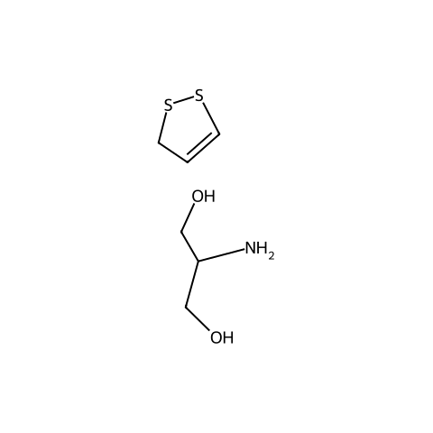 C1=CSSC1.NC(CO)CO